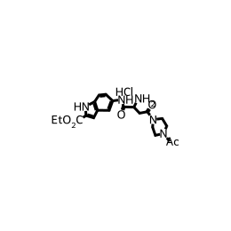 CCOC(=O)c1cc2cc(NC(=O)C(N)CC(=O)N3CCN(C(C)=O)CC3)ccc2[nH]1.Cl